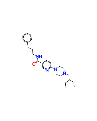 CCC(CC)CN1CCN(c2ccc(C(=O)NCCCc3ccccc3)cn2)CC1